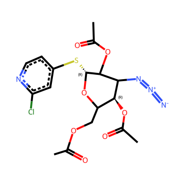 CC(=O)OCC1O[C@H](Sc2ccnc(Cl)c2)C(OC(C)=O)C(N=[N+]=[N-])[C@H]1OC(C)=O